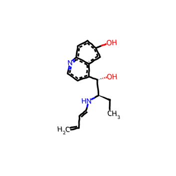 C=C/C=C/N[C@H](CC)[C@@H](O)c1ccnc2ccc(O)cc12